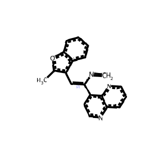 C=N/C(=C\c1c(C)oc2ccccc12)c1ccnc2cccnc12